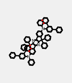 c1ccc(-c2ccc(N(c3ccccc3)c3ccc4c(c3)C(c3ccccc3)(c3ccccc3)c3nc5c(nc3-4)C(c3ccccc3)(c3ccccc3)c3cc(N(c4ccccc4)c4ccc(-c6ccccc6)cc4-c4ccccc4)ccc3-5)c(-c3ccccc3)c2)cc1